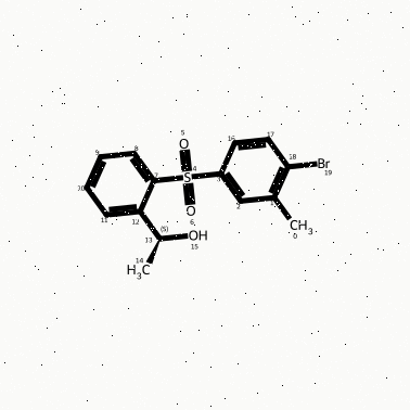 Cc1cc(S(=O)(=O)c2ccccc2[C@H](C)O)ccc1Br